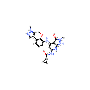 COc1c(Nc2cc(NC(=O)C3CC3)nc3[nH]n(C)c(=O)c23)cccc1-c1cnn(C)c1